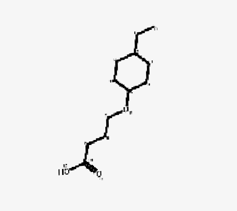 CCC1CCC(OCCCC(=O)O)CC1